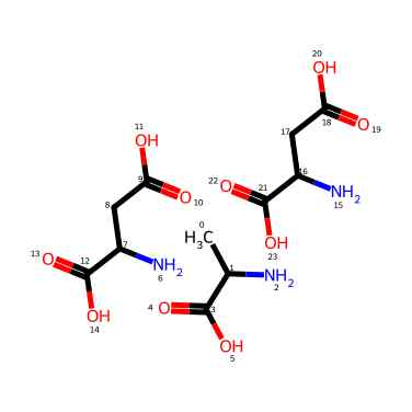 CC(N)C(=O)O.NC(CC(=O)O)C(=O)O.NC(CC(=O)O)C(=O)O